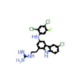 N=C(N)NCCc1cc(Nc2cc(F)c(Cl)cc2Cl)cc2c1[nH]c1ccc(Cl)cc12